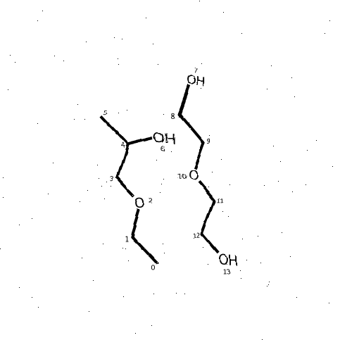 CCOCC(C)O.OCCOCCO